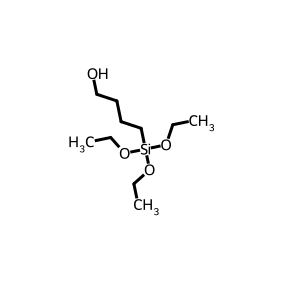 CCO[Si](CCCCO)(OCC)OCC